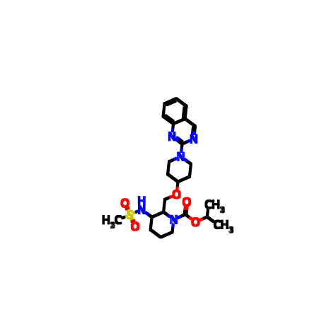 CC(C)OC(=O)N1CCCC(NS(C)(=O)=O)C1COC1CCN(c2ncc3ccccc3n2)CC1